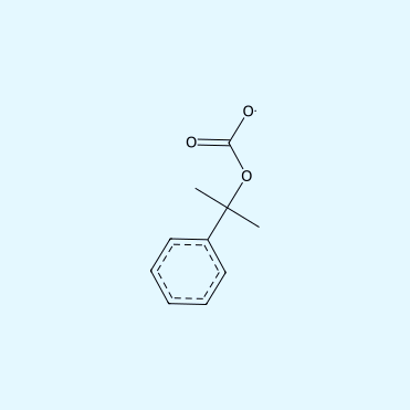 CC(C)(OC([O])=O)c1ccccc1